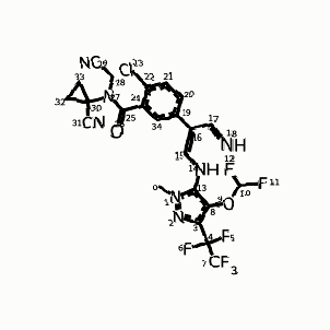 Cn1nc(C(F)(F)C(F)(F)F)c(OC(F)F)c1N/C=C(\C=N)c1ccc(Cl)c(C(=O)N(CC#N)C2(C#N)CC2)c1